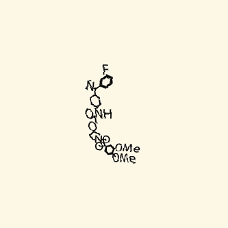 COc1ccc(S(=O)(=O)N2CCC(OCC(=O)NC3CCC(C(c4cccc(F)c4)N(C)C)CC3)C2)cc1OC